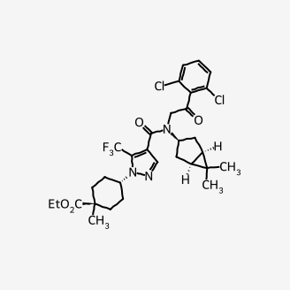 CCOC(=O)[C@]1(C)CC[C@@H](n2ncc(C(=O)N(CC(=O)c3c(Cl)cccc3Cl)[C@H]3C[C@@H]4[C@H](C3)C4(C)C)c2C(F)(F)F)CC1